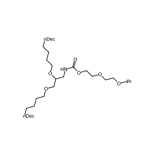 CCCCCCCCCCCCCCOCC(CNC(=O)OCCOCCOC(C)C)OCCCCCCCCCCCCCC